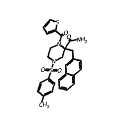 Cc1ccc(S(=O)(=O)N2CCN(C(=O)c3cccs3)C(Cc3ccc4ccccc4c3)(C(N)=O)C2)cc1